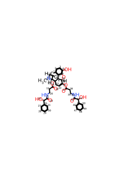 Cc1ccc(O)c2c1[C@]13CC4CN(C)[C@H]4[C@]1(OC(=O)CCNC(=O)[C@@H](O)c1ccccc1)CC=C(OC(=O)CCNC(=O)[C@@H](O)c1ccccc1)[C@@H]3O2